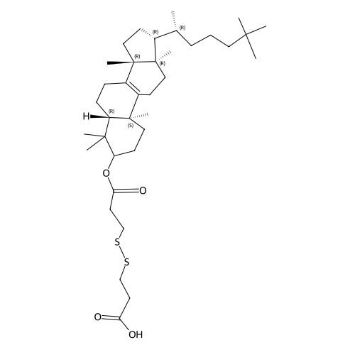 C[C@H](CCCC(C)(C)C)[C@H]1CC[C@@]2(C)C3=C(CC[C@]12C)[C@@]1(C)CCC(OC(=O)CCSSCCC(=O)O)C(C)(C)[C@@H]1CC3